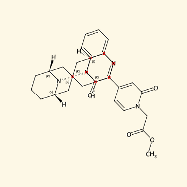 COC(=O)Cn1ccc(-c2nc3ccccc3n([C@H]3C[C@H]4CCC[C@@H](C3)N4[C@H]3C[C@@H]4CCC[C@@H](C4)C3)c2=O)cc1=O